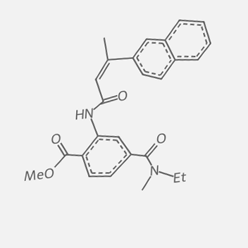 CCN(C)C(=O)c1ccc(C(=O)OC)c(NC(=O)/C=C(/C)c2ccc3ccccc3c2)c1